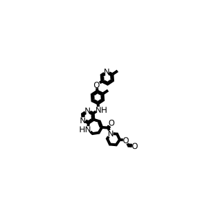 Cc1ccc(Oc2ccc(Nc3ncnc4c3C=C(C(=O)N3CCCC(OC=O)C3)CCN4)cc2C)cn1